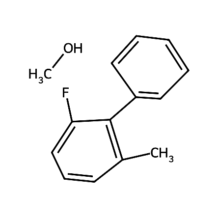 CO.Cc1cccc(F)c1-c1ccccc1